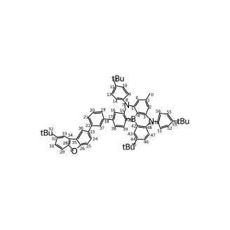 Cc1cc2c3c(c1)N(c1ccc(C(C)(C)C)cc1)c1cc(-c4cccc(-c5ccc6oc7ccc(C(C)(C)C)cc7c6c5)c4)ccc1B3c1cc(C(C)(C)C)ccc1N2c1ccc(C(C)(C)C)cc1